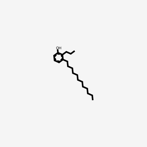 CCCCCCCCCCCCc1cccc(O)c1CCC